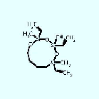 C=C[Si]1(C)CCCCO[Si](C)(C=C)O[Si](C)(C=C)O1